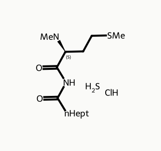 CCCCCCCC(=O)NC(=O)[C@H](CCSC)NC.Cl.S